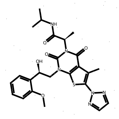 COc1ccccc1[C@@H](O)Cn1c(=O)n([C@H](C)C(=O)NC(C)C)c(=O)c2c(C)c(-n3nccn3)sc21